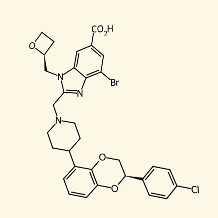 O=C(O)c1cc(Br)c2nc(CN3CCC(c4cccc5c4OC[C@@H](c4ccc(Cl)cc4)O5)CC3)n(C[C@@H]3CCO3)c2c1